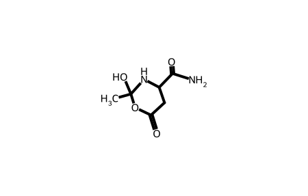 CC1(O)NC(C(N)=O)CC(=O)O1